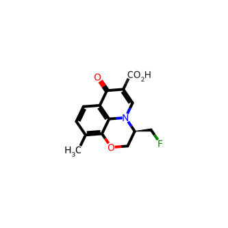 Cc1ccc2c(=O)c(C(=O)O)cn3c2c1OC[C@@H]3CF